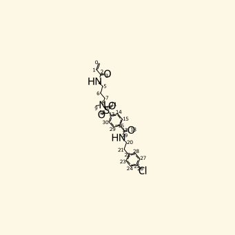 C=CC(=O)NCCCN(C)S(=O)(=O)c1ccc(C(=O)NCCc2ccc(Cl)cc2)cc1